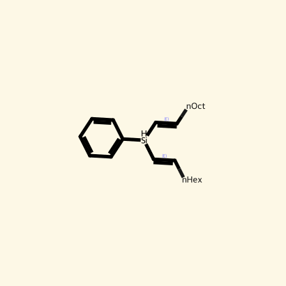 CCCCCC/C=C/[SiH](/C=C/CCCCCCCC)c1ccccc1